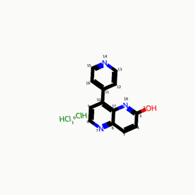 Cl.Cl.Oc1ccc2nccc(-c3ccncc3)c2n1